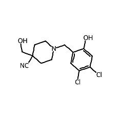 N#CC1(CO)CCN(Cc2cc(Cl)c(Cl)cc2O)CC1